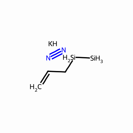 C=CC[SiH2][SiH3].N#N.[KH]